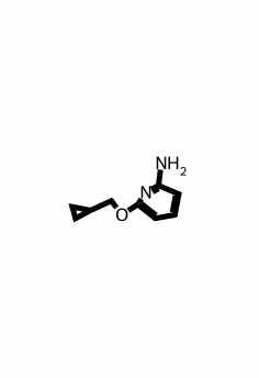 Nc1cccc(OCC2CC2)n1